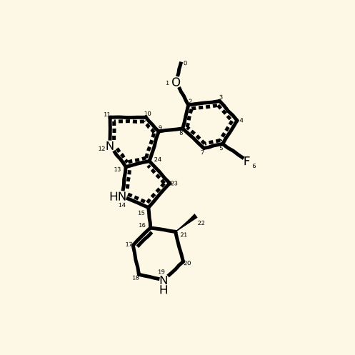 COc1ccc(F)cc1-c1ccnc2[nH]c(C3=CCNC[C@@H]3C)cc12